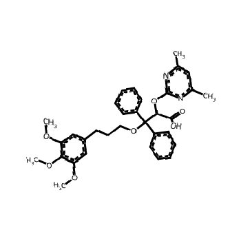 COc1cc(CCCOC(c2ccccc2)(c2ccccc2)C(Oc2nc(C)cc(C)n2)C(=O)O)cc(OC)c1OC